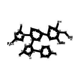 CSc1cc(-c2ccc(-n3cc(C(F)(F)F)nc3C)c(-c3nc(C)oc3-c3ccc(C)cc3)c2)cc(F)c1CO